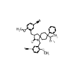 COc1ccc(C#N)cc1CN1CC2(CCC(c3ccccc3)(N(C)C)CC2)N(Cc2cc(C#N)ccc2OC)C1=O